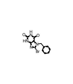 O=c1[nH]c(=O)c2c(nc(Br)n2Cc2ccccc2)[nH]1